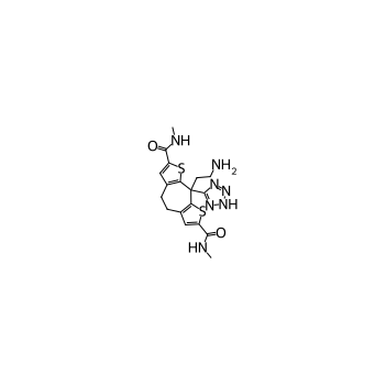 CNC(=O)c1cc2c(s1)C(CCN)(c1nn[nH]n1)c1sc(C(=O)NC)cc1CC2